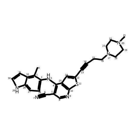 Cc1c(Nc2c(C#N)cnc3sc(C#CCCN4CCN(C)CC4)cc23)ccc2[nH]ccc12